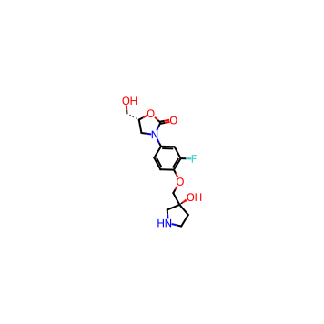 O=C1O[C@@H](CO)CN1c1ccc(OC[C@]2(O)CCNC2)c(F)c1